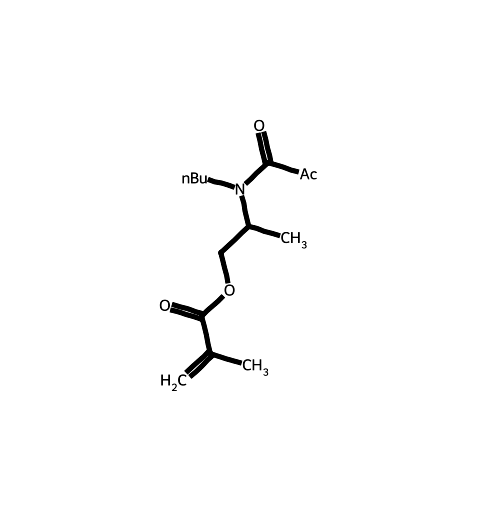 C=C(C)C(=O)OCC(C)N(CCCC)C(=O)C(C)=O